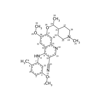 COc1ccc(C)c(Nc2c(C#N)cnc3cc(OC(C)C4CCN(C)CC4)c(OC)cc23)c1